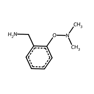 CN(C)Oc1ccccc1CN